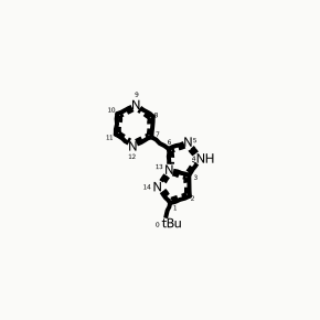 CC(C)(C)c1cc2[nH]nc(-c3cnccn3)n2n1